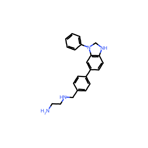 NCCNCc1ccc(-c2ccc3c(c2)N(c2ccccc2)CN3)cc1